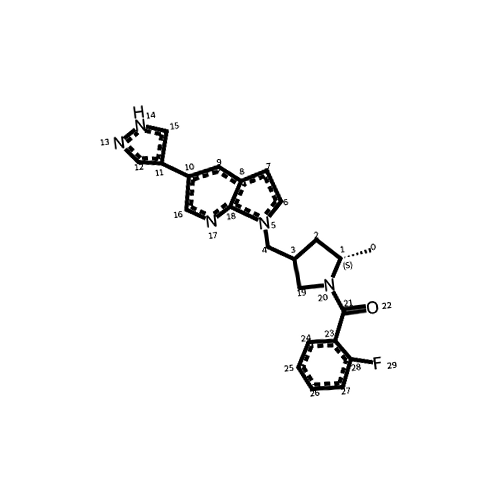 C[C@H]1CC(Cn2ccc3cc(-c4cn[nH]c4)cnc32)CN1C(=O)c1ccccc1F